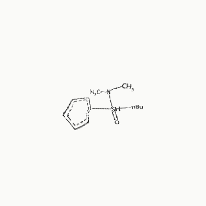 CCCC[SH](=O)(c1ccccc1)N(C)C